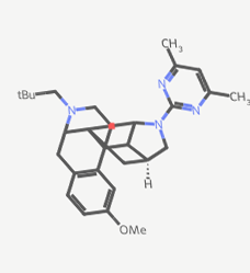 COc1ccc2c(c1)C13CCN(CC(C)(C)C)C(C2)C12CCC1C3[C@@H](CN1c1nc(C)cc(C)n1)C2